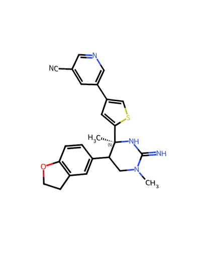 CN1CC(c2ccc3c(c2)CCO3)[C@@](C)(c2cc(-c3cncc(C#N)c3)cs2)NC1=N